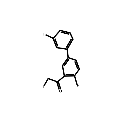 O=C(CI)c1cc(-c2cccc(F)c2)ccc1F